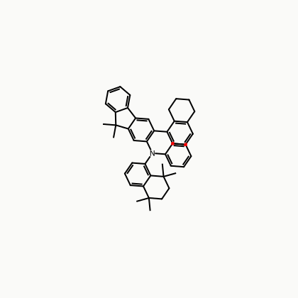 CC1(C)CCC(C)(C)c2c(N(c3ccccc3)c3cc4c(cc3-c3cccc5c3CCCC5)-c3ccccc3C4(C)C)cccc21